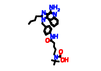 CCCCc1nc2c(N)nc3ccccc3c2n1Cc1ccc(NC(=O)CCCCN(C(=O)O)C(C)(C)C)cc1